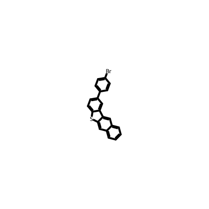 Brc1ccc(-c2ccc3sc4cc5ccccc5cc4c3c2)cc1